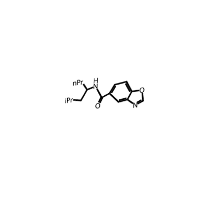 CCCC(CC(C)C)NC(=O)c1ccc2ocnc2c1